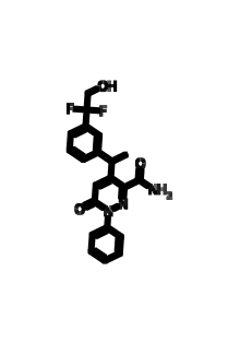 CC(c1cccc(C(F)(F)CO)c1)c1cc(=O)n(-c2ccccc2)nc1C(N)=O